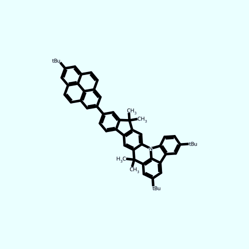 CC(C)(C)c1cc2ccc3cc(-c4ccc5c(c4)C(C)(C)c4cc6c(cc4-5)C(C)(C)c4cc(C(C)(C)C)cc5c7cc(C(C)(C)C)ccc7n-6c45)cc4ccc(c1)c2c34